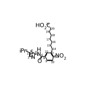 CC(C)c1cnc(NC(=O)c2ccc([N+](=O)[O-])c(CCCCCCCC(=O)O)c2)s1